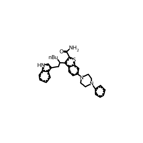 CCCCC(Cc1c[nH]c2ccccc12)c1c(C(N)=O)sc2cc(N3CCN(c4ccccc4)CC3)ccc12